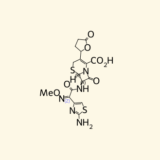 CO/N=C(\C(=O)N[C@@H]1C(=O)N2C(C(=O)O)=C(C3CCC(=O)O3)CS[C@H]12)c1csc(N)n1